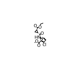 CCOC(=O)[C@@H]1C[C@H]1C(=O)Nn1ccc(Cl)c1C(=O)OC